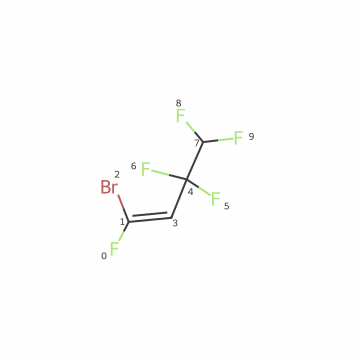 FC(Br)=CC(F)(F)C(F)F